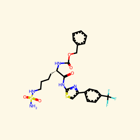 NS(=O)(=O)NCCCC[C@H](NC(=O)OCc1ccccc1)C(=O)Nc1nc(-c2ccc(C(F)(F)F)cc2)cs1